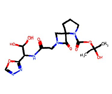 CC(C)(O)OC(=O)N1CCCC12CN(CC(=O)NC(c1nnco1)C(O)O)C2=O